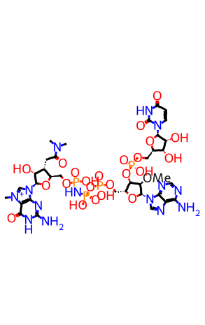 CO[C@@H]1[C@H](OP(=O)(O)OC[C@H]2O[C@@H](n3ccc(=O)[nH]c3=O)[C@H](O)[C@@H]2O)[C@@H](COP(=O)(O)OP(=O)(O)NP(=O)(O)OC[C@H]2O[C@@H](n3c[n+](C)c4c(=O)[nH]c(N)nc43)[C@H](O)[C@@H]2CC(=O)N(C)C)O[C@H]1n1cnc2c(N)ncnc21